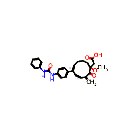 C=C1/C=C\C(c2ccc(NC(=O)Nc3ccccc3)cc2)=C/CCCC(CC(=O)O)(OC)C1=O